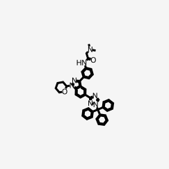 CN(C)CC(=O)Nc1cccc(-c2nn(C3CCCCO3)c3ccc(-c4ncn(C(c5ccccc5)(c5ccccc5)c5ccccc5)n4)cc23)c1